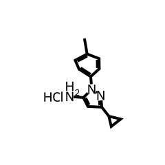 Cc1ccc(-n2nc(C3CC3)cc2N)cc1.Cl